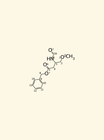 COCC(CC(=O)OCc1ccccc1)NC=O